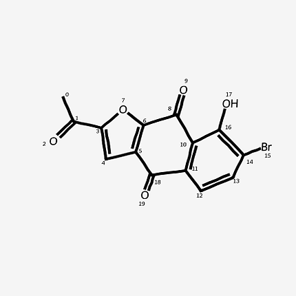 CC(=O)c1cc2c(o1)C(=O)c1c(ccc(Br)c1O)C2=O